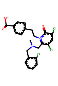 CN(Cc1ccccc1Cl)Cc1c(Cl)cc(Cl)c(=O)n1CCc1ccc(C(=O)O)cc1